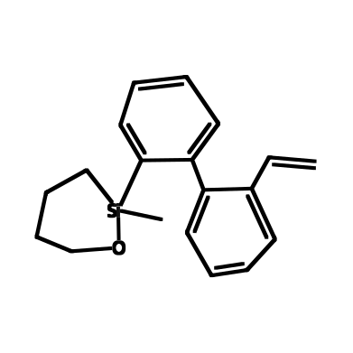 C=Cc1ccccc1-c1ccccc1[Si]1(C)CCCCO1